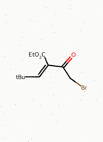 CCOC(=O)/C(=C\C(C)(C)C)C(=O)CBr